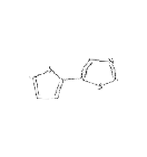 [c]1ccc(-c2cn[c]s2)s1